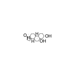 C[C@]12CC[C@H]3[C@@H](CC[C@@]4(O)C[C@@H](O)CC[C@]34C)[C@@H]1CCC2=O